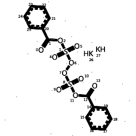 O=C(OS(=O)(=O)OOS(=O)(=O)OC(=O)c1ccccc1)c1ccccc1.[KH].[KH]